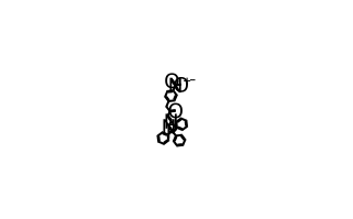 O=C(C=NN=P(c1ccccc1)(c1ccccc1)c1ccccc1)Cc1ccc([N+](=O)[O-])cc1